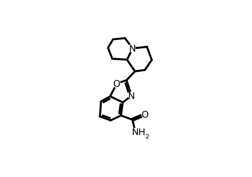 NC(=O)c1cccc2oc(C3CCCN4CCCCC34)nc12